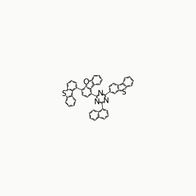 c1ccc2c(-c3nc(-c4ccc5c(c4)sc4ccccc45)nc(-c4ccc(-c5cccc6sc7ccccc7c56)c5oc6ccccc6c45)n3)cccc2c1